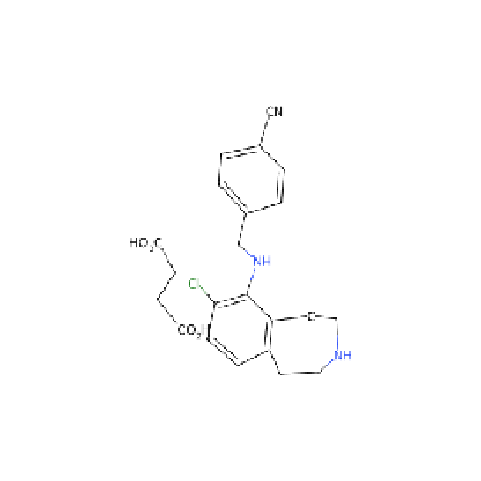 N#Cc1ccc(CNc2c(Cl)ccc3c2CCNCC3)cc1.O=C(O)CCC(=O)O